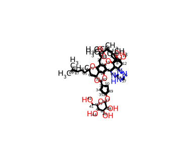 COC(=O)/C(C)=C\CC1(O)C(=O)C2CC(C(C)C)C13Oc1c(CC=C(C)C)c4c(c(OC(=O)c5ccc(O[C@@H]6O[C@H](CO)[C@@H](O)[C@H](O)[C@H]6O)cc5)c1C1=C3C2n2ncnc2N1)C=CC(C)(CCC=C(C)C)O4